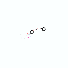 COC(=O)C(NC(=O)OC(C)(C)C)c1ccc(OCCOCc2ccccc2)cc1